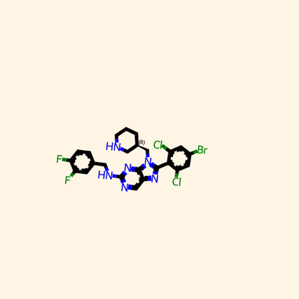 Fc1ccc(CNc2ncc3nc(-c4c(Cl)cc(Br)cc4Cl)n(C[C@@H]4CCCNC4)c3n2)cc1F